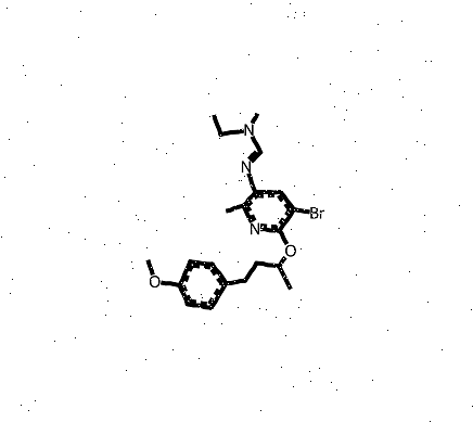 CCN(C)/C=N/c1cc(Br)c(OC(C)CCc2ccc(OC)cc2)nc1C